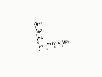 [Fe+3].[Ni+2].[Ni+2].[Ni+2].[P-3].[P-3].[P-3]